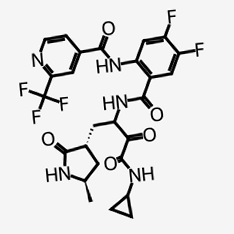 C[C@@H]1C[C@@H](CC(NC(=O)c2cc(F)c(F)cc2NC(=O)c2ccnc(C(F)(F)F)c2)C(=O)C(=O)NC2CC2)C(=O)N1